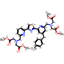 CC(C)(C)OC(=O)CN(CC(=O)OC(C)(C)C)Cc1cccc(-c2csc(-c3cc(Cc4ccc([N+](=O)[O-])cc4)cc(CN(CC(=O)OC(C)(C)C)CC(=O)OC(C)(C)C)n3)n2)n1